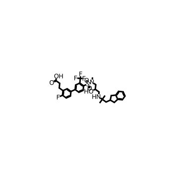 CN(CC(O)CNC(C)(C)CC1Cc2ccccc2C1)S(=O)(=O)c1ccc(-c2ccc(F)c(CCC(=O)O)c2)cc1C(F)(F)F